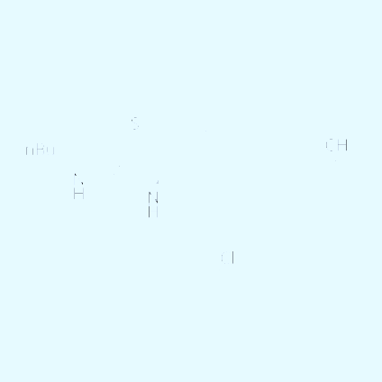 CCCCNC(=S)Nc1ccc(C)cc1Cl